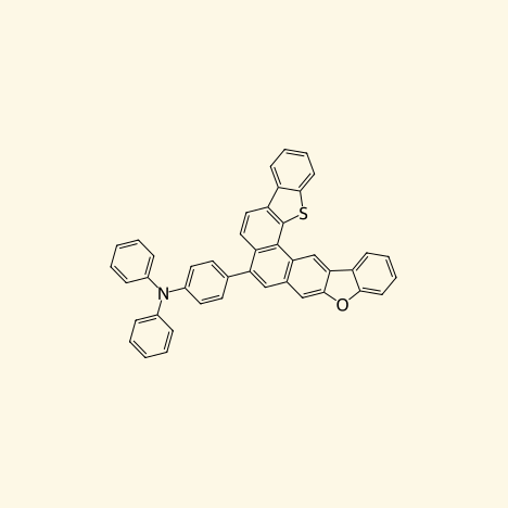 c1ccc(N(c2ccccc2)c2ccc(-c3cc4cc5oc6ccccc6c5cc4c4c3ccc3c5ccccc5sc34)cc2)cc1